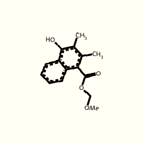 COCOC(=O)c1c(C)c(C)c(O)c2ccccc12